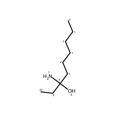 CCCCCCC(N)(O)CC